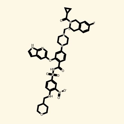 O=C(NS(=O)(=O)c1ccc(NCC2CCOCC2)c([N+](=O)[O-])c1)c1ccc(N2CCN(C[C@@H]3Cc4ccc(F)cc4CN3C(=O)C3CC3)CC2)cc1Oc1cnc2[nH]ccc2c1